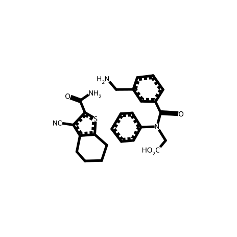 N#Cc1c(C(N)=O)sc2c1CCCC2.NCc1cccc(C(=O)N(CC(=O)O)c2ccccc2)c1